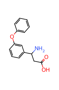 NC(CC(=O)O)c1cccc(Oc2ccccc2)c1